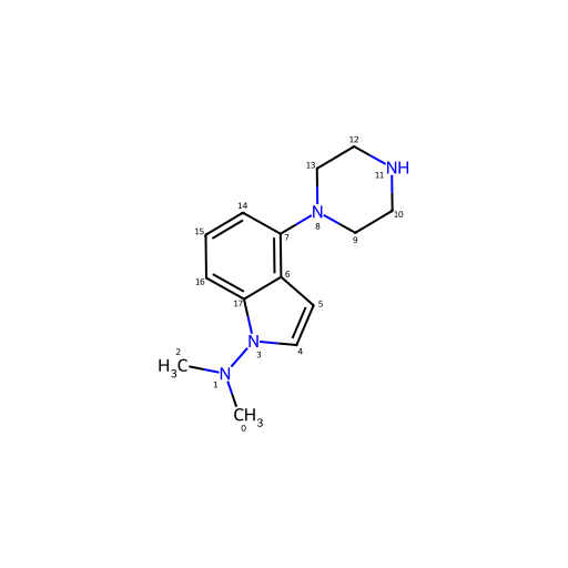 CN(C)n1ccc2c(N3CCNCC3)cccc21